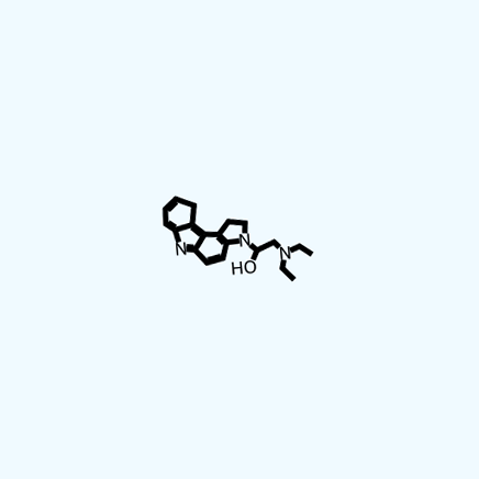 CCN(CC)CC(O)N1CCc2c1ccc1c2=C2CC=CC=C2N=1